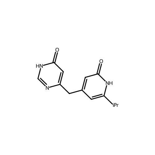 CC(C)c1cc(Cc2cc(=O)[nH]cn2)cc(=O)[nH]1